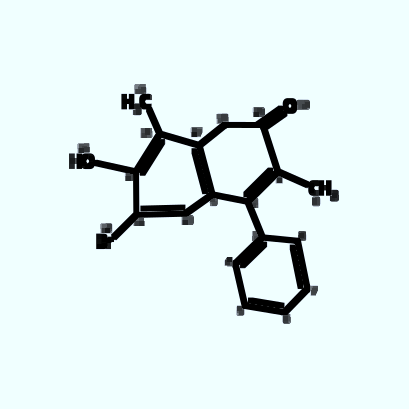 CC1=C(c2ccccc2)c2cc(Br)c(O)c(C)c2CC1=O